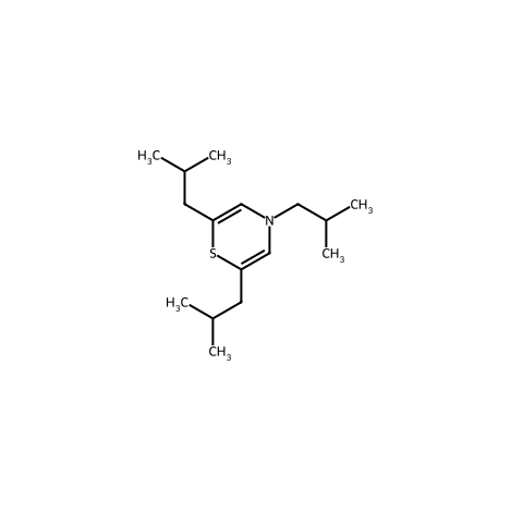 CC(C)CC1=CN(CC(C)C)C=C(CC(C)C)S1